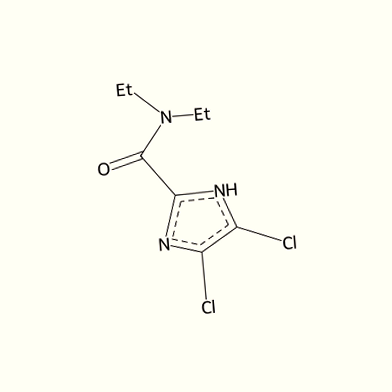 CCN(CC)C(=O)c1nc(Cl)c(Cl)[nH]1